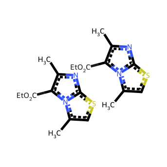 CCOC(=O)c1c(C)nc2scc(C)n12.CCOC(=O)c1c(C)nc2scc(C)n12